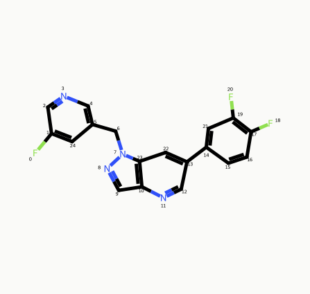 Fc1cncc(Cn2ncc3ncc(-c4ccc(F)c(F)c4)cc32)c1